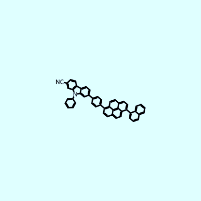 N#Cc1ccc2c3ccc(-c4ccc(-c5ccc6ccc7c(-c8cccc9ccccc89)ccc8ccc5c6c87)cc4)cc3n(-c3ccccc3)c2c1